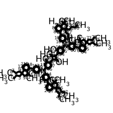 CCCCC1(CCCC)CC(C)(C)c2c(-c3ccc(N(c4ccc(-c5cccc6c5C(C)(C)CC6(CCCC)CCCC)cc4)c4ccc(C5C(O)C(c6ccc(N(c7ccc(-c8cccc9c8C(C)(C)CC9(CCCC)CCCC)cc7)c7ccc(-c8cccc9c8C(CCCC)(CCCC)CC9(C)C)cc7)cc6O)C5O)c(O)c4)cc3)cccc21